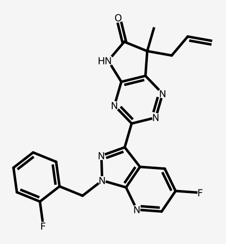 C=CCC1(C)C(=O)Nc2nc(-c3nn(Cc4ccccc4F)c4ncc(F)cc34)nnc21